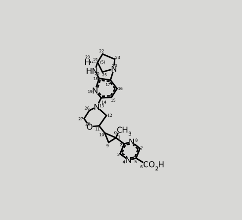 CC1(c2cnc(C(=O)O)cn2)CC1C1CN(c2ccc3c(n2)N[C@H]2CCN3C2)CCO1